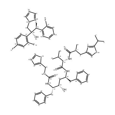 CC(C)c1nc(CN(C)C(=O)N[C@H](C(=O)N[C@@H](Cc2ccccc2)C[C@H](O)[C@H](Cc2ccccc2)NC(=O)OCc2cncs2)C(C)C)cs1.C[C@@H](c1ncncc1F)[C@](O)(Cn1cncn1)c1ccc(F)cc1F